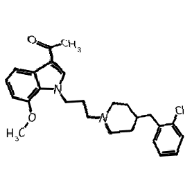 COc1cccc2c(C(C)=O)cn(CCCN3CCC(Cc4ccccc4Cl)CC3)c12